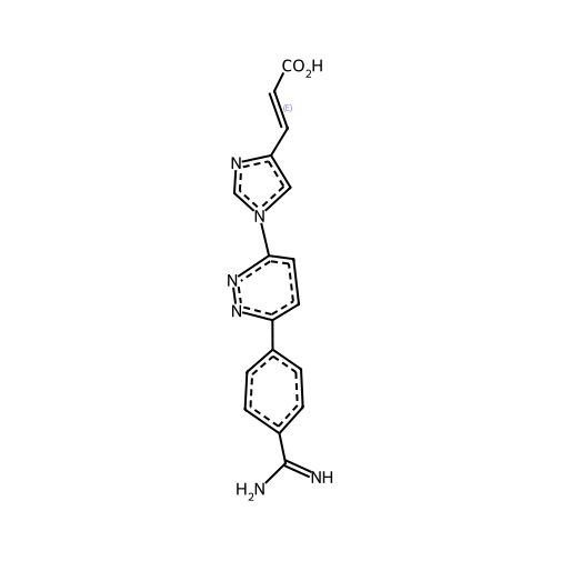 N=C(N)c1ccc(-c2ccc(-n3cnc(/C=C/C(=O)O)c3)nn2)cc1